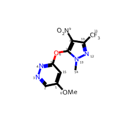 COc1cnnc(Oc2c([N+](=O)[O-])c(C(F)(F)F)nn2C)c1